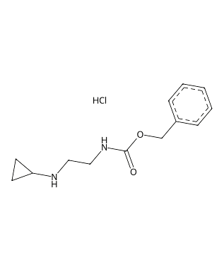 Cl.O=C(NCCNC1CC1)OCc1ccccc1